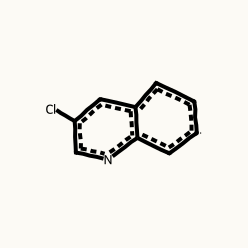 Clc1cnc2c[c]ccc2c1